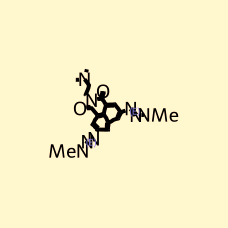 CN/N=N/c1cc2c3c(cc(/N=N/NC)cc3c1)C(=O)N(CCN(C)C)C2=O